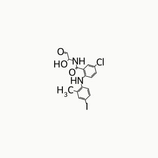 Cc1cc(I)ccc1Nc1ccc(Cl)cc1C(=O)NC(O)C=O